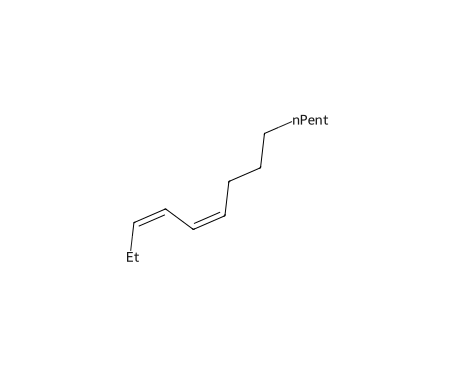 [CH2]CCCCCCC/C=C\C=C/CC